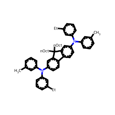 CCCCCCCCC1(CCCCCCCC)c2cc(N(c3cccc(C)c3)c3cccc(CC)c3)ccc2-c2ccc(N(c3cccc(C)c3)c3cccc(CC)c3)cc21